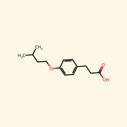 CC(C)CCOc1ccc(CCC(=O)O)cc1